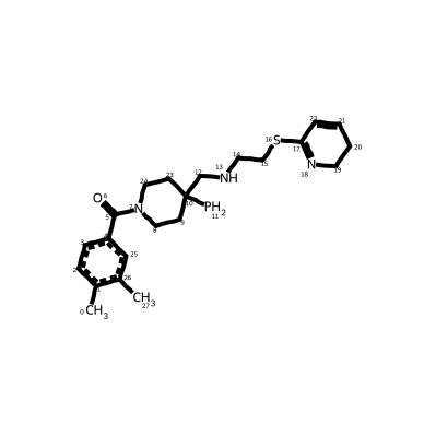 Cc1ccc(C(=O)N2CCC(P)(CNCCSC3=NCCC=C3)CC2)cc1C